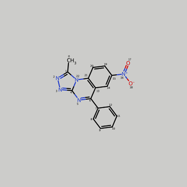 Cc1nnc2nc(-c3ccccc3)c3cc([N+](=O)[O-])ccc3n12